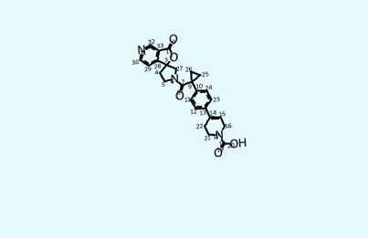 O=C1OC2(CCN(C(=O)C3(c4ccc(C5=CCN(C(=O)O)CC5)cc4)CC3)C2)c2ccncc21